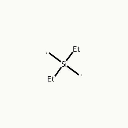 [CH][Si]([CH])(CC)CC